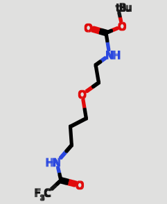 CC(C)(C)OC(=O)NCCOCCCNC(=O)C(F)(F)F